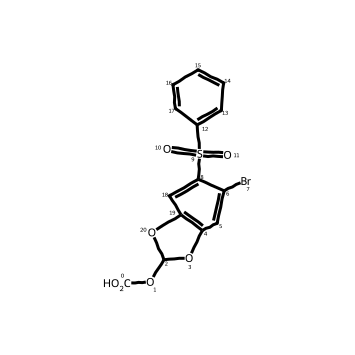 O=C(O)OC1Oc2cc(Br)c(S(=O)(=O)c3ccccc3)cc2O1